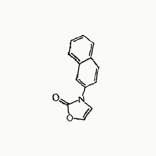 O=c1occn1-c1ccc2ccccc2c1